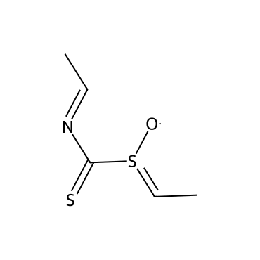 CC=NC(=S)S([O])=CC